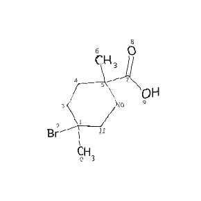 CC1(Br)CCC(C)(C(=O)O)CC1